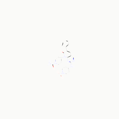 CCS(=O)(=O)N1CCC(Nc2ncc3cc(-c4ccccc4C)c(=O)n(C4CCN(C(=O)NC(C)C)CC4)c3n2)CC1